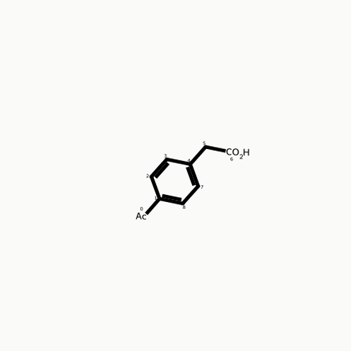 CC(=O)c1ccc(CC(=O)O)cc1